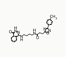 Cc1ccc(-c2noc(CCC(=O)NCCCCNc3n[nH]c(=O)c4ccccc34)n2)cc1